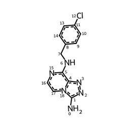 Nc1nnc2c(NCc3ccc(Cl)cc3)nccn12